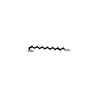 CCCC/C=C\CCCCCCCCC/C=C/COC(C)=O